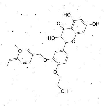 C=C(/C=C\C(=C/C)OC)COc1cc(C2Oc3cc(O)cc(O)c3C(=O)C2O)ccc1OCCO